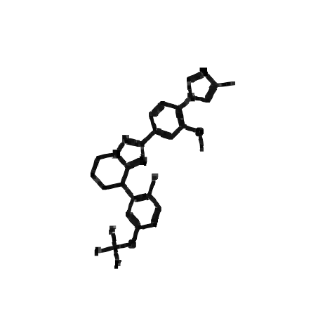 COc1cc(-c2nc3n(n2)CCCC3c2cc(OC(F)(F)F)ccc2F)ccc1-n1cnc(C)c1